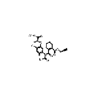 C#CCOC(=O)C1=C(C(=O)N(C(=O)CC)c2cc(SC(C)C(=O)OC)c(Cl)cc2F)CCCC1